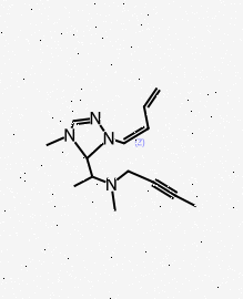 C=C/C=C\N1N=CN(C)C1C(C)N(C)CC#CC